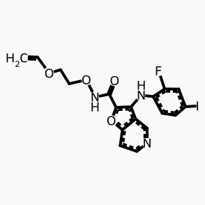 C=COCCONC(=O)c1oc2ccncc2c1Nc1ccc(I)cc1F